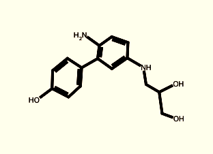 Nc1ccc(NCC(O)CO)cc1-c1ccc(O)cc1